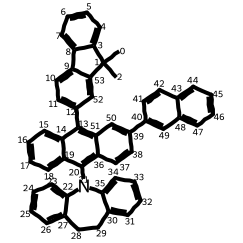 CC1(C)c2ccccc2-c2ccc(-c3c4ccccc4c(N4c5ccccc5CCc5ccccc54)c4ccc(-c5ccc6ccccc6c5)cc34)cc21